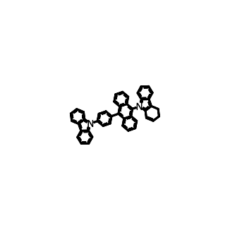 C1=Cc2c(c3ccccc3n2-c2c3ccccc3c(-c3ccc(-n4c5ccccc5c5ccccc54)cc3)c3ccccc23)CC1